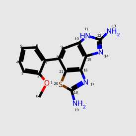 COc1ccccc1-c1cc2[nH]c(N)nc2c2nc(N)sc12